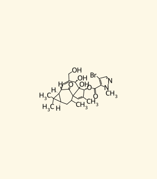 CC1=CC23C(=O)[C@@H](C=C(CO)[C@@H](O)[C@]2(O)[C@H]1OC(=O)c1c(Br)cnn1C)[C@H]1[C@@H](CC3C)C1(C)C